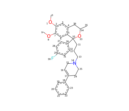 COc1cc2c(cc1OC)C(CCCN1CC=C(c3ccccc3)CC1)(c1ccc(F)cc1)OC(C)C2